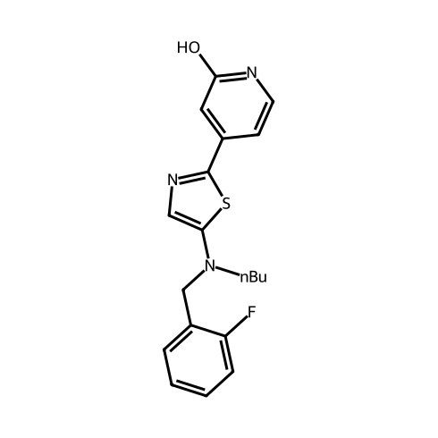 CCCCN(Cc1ccccc1F)c1cnc(-c2ccnc(O)c2)s1